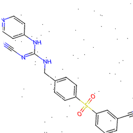 N#CN=C(NCc1ccc(S(=O)(=O)c2cccc(C#N)c2)cc1)Nc1ccncc1